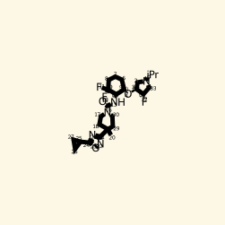 CC(C)N1C[C@H](O[C@H]2CCCC(F)(F)[C@@H]2NC(=O)N2CCC(C)(c3noc(C4CC4)n3)CC2)[C@@H](F)C1